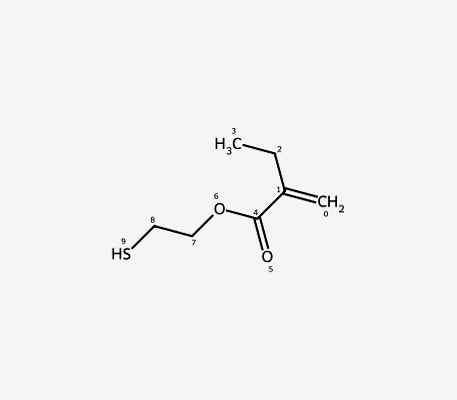 C=C(CC)C(=O)OCCS